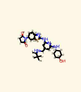 CC(NCc1cc(Nc2nc3ccc(N4C(=O)CCC4=O)cc3s2)nc(N[C@H]2CC[C@H](O)CC2)c1)C(C)(C)C